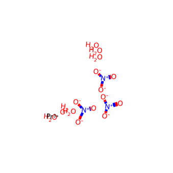 O.O.O.O.O.O.O=[N+]([O-])[O-].O=[N+]([O-])[O-].O=[N+]([O-])[O-].[Pr+3]